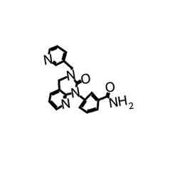 NC(=O)c1cccc(N2C(=O)N(Cc3cccnc3)Cc3cccnc32)c1